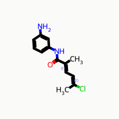 C/C(Cl)=C\C=C(/C)C(=O)Nc1cccc(N)c1